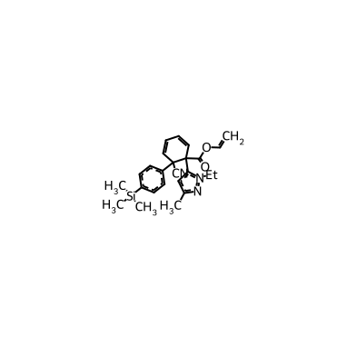 C=COC(=O)C1(c2cc(C)nn2CC)C=CC=CC1(C#N)c1ccc([Si](C)(C)C)cc1